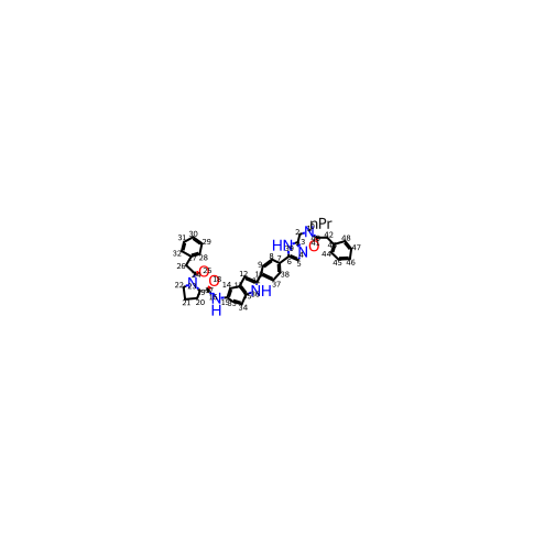 CCCN(Cc1ncc(-c2ccc(-c3cc4cc(NC(=O)[C@@H]5CCCN5C(=O)Cc5ccccc5)ccc4[nH]3)cc2)[nH]1)C(=O)Cc1ccccc1